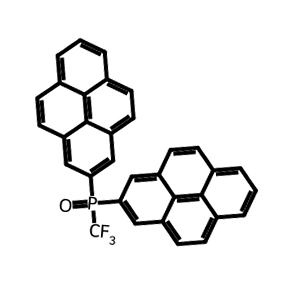 O=P(c1cc2ccc3cccc4ccc(c1)c2c34)(c1cc2ccc3cccc4ccc(c1)c2c34)C(F)(F)F